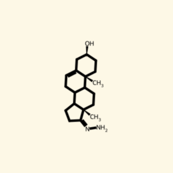 C[C@]12CC[C@H](O)CC1=CCC1C2CC[C@]2(C)/C(=N\N)CCC12